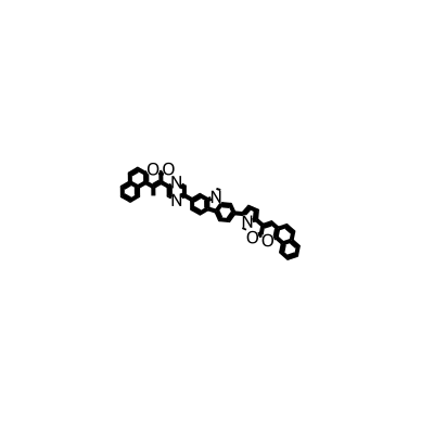 Cc1c(-c2cnc(-c3ccc4c5ccc(-c6ccc(-c7cc8ccc9ccccc9c8oc7=O)n6C)cc5n(C)c4c3)cn2)c(=O)oc2ccc3ccccc3c12